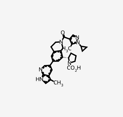 Cc1c[nH]c2ncc(-c3cc4c(c([C@@H]5CCCN5C(=O)O)c3)CN(C(=O)c3cnn(C5CC5)c3C)CC4)cc12